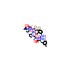 Cc1cccc(C[C@H](NC(=O)Nc2ccc(Cl)cc2)C(=O)N[C@@H](CO)C(=O)N2CCC[C@H]2C(=O)N2CCCC[C@H]2C(=O)N[C@@H](C)C(=O)N2C[C@H](C)C[C@@]23CC3=O)c1